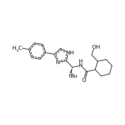 Cc1ccc(-c2c[nH]c([C@@H](NC(=O)C3CCCCC3CO)C(C)(C)C)n2)cc1